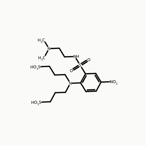 CN(C)CCNS(=O)(=O)c1cc([N+](=O)[O-])ccc1N(CCCS(=O)(=O)O)CCCS(=O)(=O)O